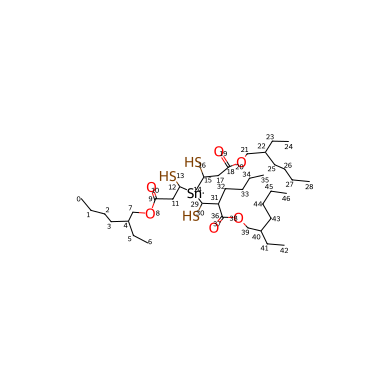 CCCCC(CC)COC(=O)C[CH](S)[Sn]([CH](S)CC(=O)OCC(CC)CCCC)[CH](S)C(CCCC)C(=O)OCC(CC)CCCC